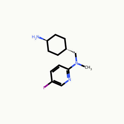 CN(C[C@H]1CC[C@H](N)CC1)c1ccc(I)cn1